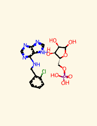 Clc1ccccc1CNc1ncnc2nc[nH]c12.O=P(O)(O)OC[C@H]1OC(O)[C@H](O)[C@@H]1O